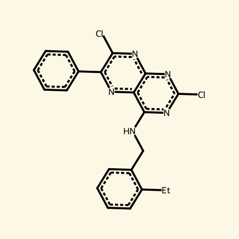 CCc1ccccc1CNc1nc(Cl)nc2nc(Cl)c(-c3ccccc3)nc12